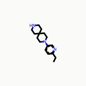 CCc1ccc(N2CCC3(CCNCC3)CC2)cn1